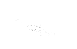 COCOC1CC[C@H]2[C@@H]3CCc4cc(OCCCBr)ccc4[C@H]3CC[C@]12C